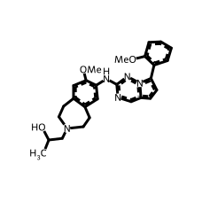 COc1cc2c(cc1Nc1ncc3ccc(-c4ccccc4OC)n3n1)CCN(CC(C)O)CC2